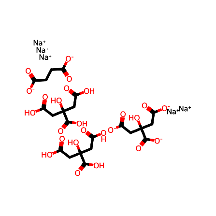 O=C(O)CC(O)(CC(=O)O)C(=O)O.O=C(O)CC(O)(CC(=O)O)C(=O)O.O=C([O-])CC(O)(CC(=O)[O-])C(=O)[O-].O=C([O-])CCC(=O)[O-].[Na+].[Na+].[Na+].[Na+].[Na+]